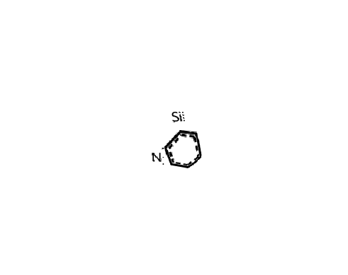 [N].[Si].c1ccccc1